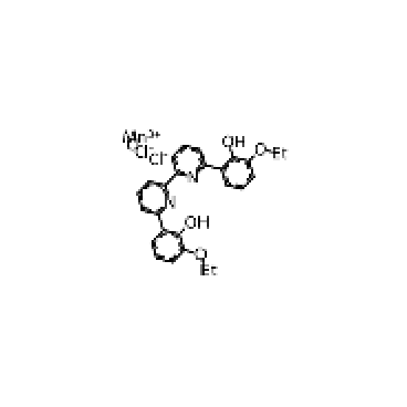 CCOc1cccc(-c2cccc(-c3cccc(-c4cccc(OCC)c4O)n3)n2)c1O.[Cl-].[Cl-].[Cl-].[Mn+3]